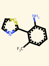 Nc1cccc(C(F)(F)F)c1-c1nccs1